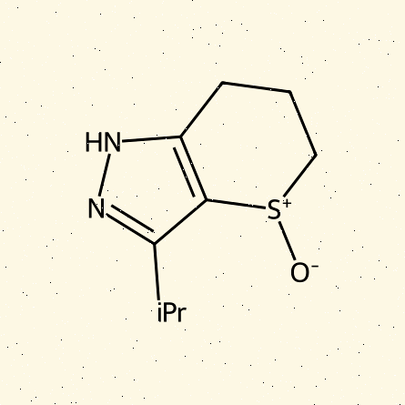 CC(C)c1n[nH]c2c1[S+]([O-])CCC2